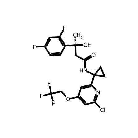 C[C@](O)(CC(=O)NC1(c2cc(OCC(F)(F)F)cc(Cl)n2)CC1)c1ccc(F)cc1F